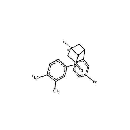 Cc1ccc(C(=O)N2C3C[C@@H]2Cc2ccc(Br)cc23)cc1C